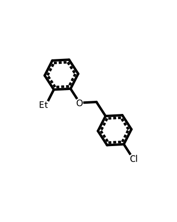 CCc1ccccc1OCc1ccc(Cl)cc1